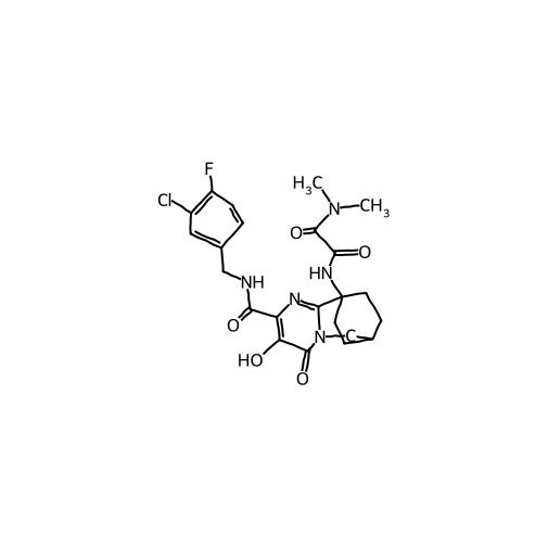 CN(C)C(=O)C(=O)NC12CCC(CC1)Cn1c2nc(C(=O)NCc2ccc(F)c(Cl)c2)c(O)c1=O